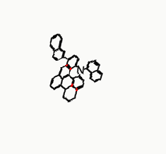 c1ccc(N(c2ccc(-c3ccc4ccccc4c3)cc2)c2cccc3ccccc23)c(-c2cccc3cccc(C4CCCCC4)c23)c1